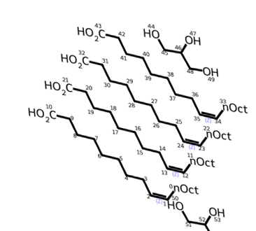 CCCCCCCC/C=C\CCCCCCCC(=O)O.CCCCCCCC/C=C\CCCCCCCC(=O)O.CCCCCCCC/C=C\CCCCCCCC(=O)O.CCCCCCCC/C=C\CCCCCCCC(=O)O.OCC(O)CO.OCC(O)CO